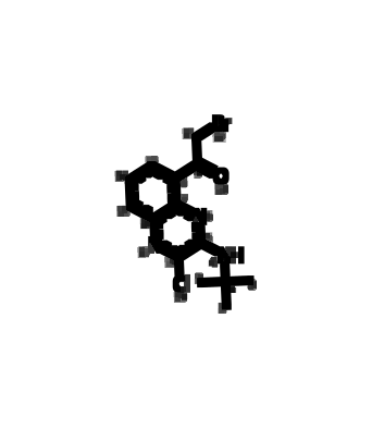 CC(C)(C)Nc1nc2c(C(=O)CBr)cccc2nc1Cl